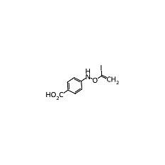 C=C(I)ONc1ccc(C(=O)O)cc1